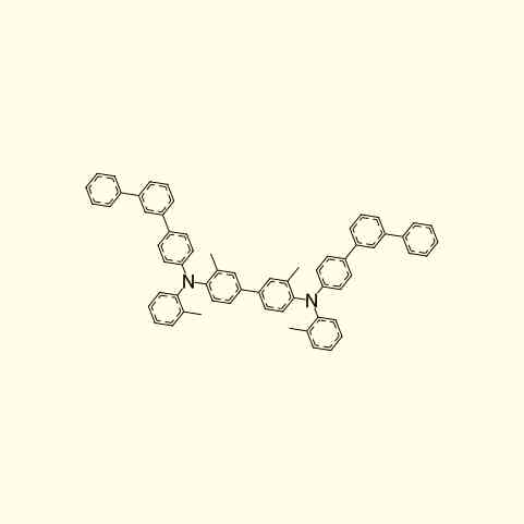 Cc1ccccc1N(c1ccc(-c2cccc(-c3ccccc3)c2)cc1)c1ccc(-c2ccc(N(c3ccc(-c4cccc(-c5ccccc5)c4)cc3)c3ccccc3C)c(C)c2)cc1C